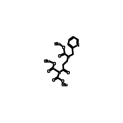 CC(C)(C)OC(=O)N(CCC(=O)N(C(=O)OC(C)(C)C)C(=O)OC(C)(C)C)Cc1ccccn1